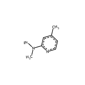 Cc1ccnc(N(C)C(C)C)c1